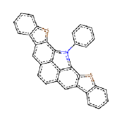 c1ccc(-n2c3c4sc5ccccc5c4cc4ccc5cc6c7ccccc7sc6c2c5c43)cc1